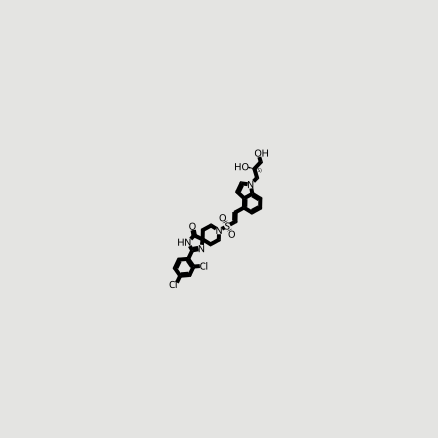 O=C1NC(c2ccc(Cl)cc2Cl)=NC12CCN(S(=O)(=O)C=Cc1cccc3c1ccn3C[C@H](O)CO)CC2